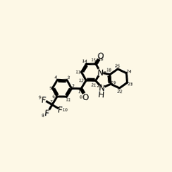 O=C(c1cccc(C(F)(F)F)c1)c1ccc(=O)n2c3c([nH]c12)CCCC3